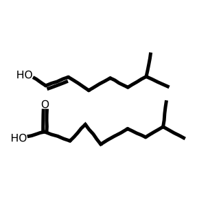 CC(C)CCCC=CO.CC(C)CCCCCC(=O)O